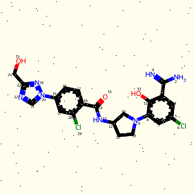 N=C(N)c1cc(Cl)cc(N2CCC(NC(=O)c3ccc(-n4cnc(CO)n4)cc3Cl)C2)c1O